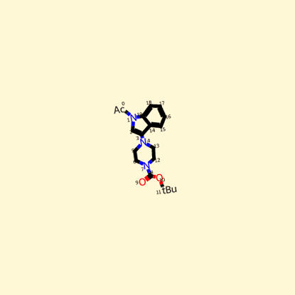 CC(=O)n1cc(N2CCN(C(=O)OC(C)(C)C)CC2)c2ccccc21